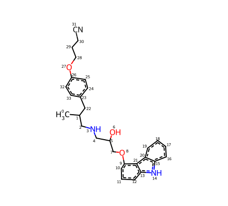 CC(CNCC(O)COc1cccc2[nH]c3ccccc3c12)Cc1ccc(OCCCC#N)cc1